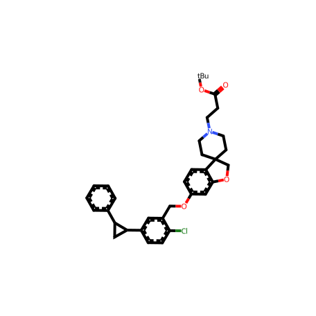 CC(C)(C)OC(=O)CCN1CCC2(CC1)COc1cc(OCc3cc(C4CC4c4ccccc4)ccc3Cl)ccc12